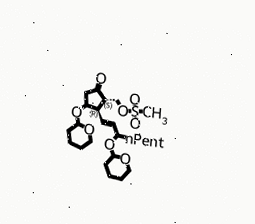 CCCCCC(C=C[C@H]1C(OC2CCCCO2)CC(=O)[C@@H]1COS(C)(=O)=O)OC1CCCCO1